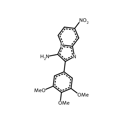 COc1cc(-c2nc3cc([N+](=O)[O-])ccn3c2N)cc(OC)c1OC